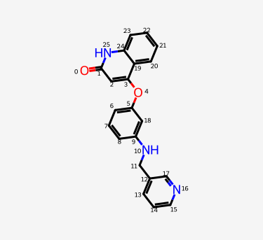 O=c1cc(Oc2cccc(NCc3cccnc3)c2)c2ccccc2[nH]1